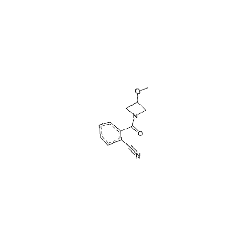 COC1CN(C(=O)c2ccccc2C#N)C1